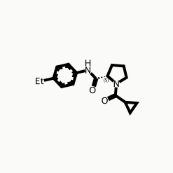 [CH2]Cc1ccc(NC(=O)[C@@H]2CCCN2C(=O)C2CC2)cc1